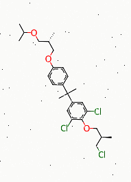 CC(C)OC[C@H](C)COc1ccc(C(C)(C)c2cc(Cl)c(OC[C@@H](C)CCl)c(Cl)c2)cc1